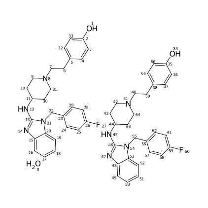 O.Oc1ccc(CCN2CCC(Nc3nc4ccccc4n3Cc3ccc(F)cc3)CC2)cc1.Oc1ccc(CCN2CCC(Nc3nc4ccccc4n3Cc3ccc(F)cc3)CC2)cc1